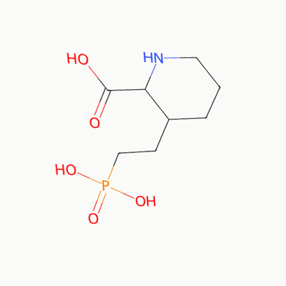 O=C(O)C1NCCCC1CCP(=O)(O)O